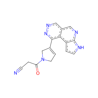 N#CCC(=O)N1CC=C(c2nncc3cnc4[nH]ccc4c23)C1